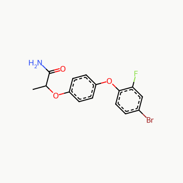 CC(Oc1ccc(Oc2ccc(Br)cc2F)cc1)C(N)=O